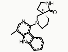 Cc1cnc(N2CCC[C@@]3(CCNC3=O)C2)c2c1[nH]c1ccccc12